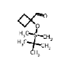 CC(C)(C)[Si](C)(C)OC1(C=O)CCC1